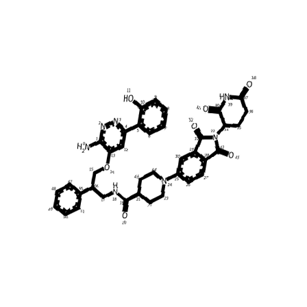 Nc1nnc(-c2ccccc2O)cc1OCC(CNC(=O)C1CCN(c2ccc3c(c2)C(=O)N(C2CCC(=O)NC2=O)C3=O)CC1)c1ccccc1